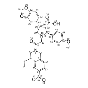 CCCCN(Cc1ccc([N+](=O)[O-])cc1)C(=O)CN1C[C@H](c2ccc3c(c2)OCO3)[C@H](C(=O)O)[C@H]1c1ccc(OC)cc1